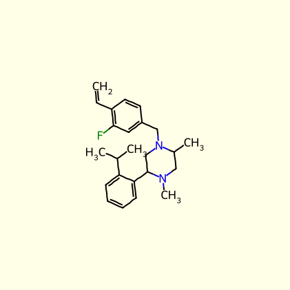 C=Cc1ccc(CN2CC(c3ccccc3C(C)C)N(C)CC2C)cc1F